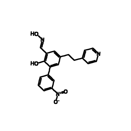 O=[N+]([O-])c1cccc(-c2cc(CCc3ccncc3)cc(/C=N/O)c2O)c1